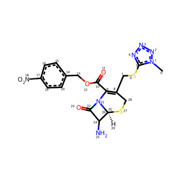 Cn1nnnc1SCC1=C(C(=O)OCc2ccc([N+](=O)[O-])cc2)N2C(=O)C(N)[C@@H]2SC1